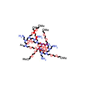 COCCOCCOCCN(CC(C)=O)C(=O)CN(CCN)C(=O)CN(CCOCCOCCOC)C(=O)CN(CCN)C(=O)CN(CCOCCOCCOC)C(=O)CN(CCN)C(=O)CN(CCOCCOCCOC)C(=O)CN(CCN)C(=O)CN(CCOCCOCCOC)C(=O)CN(CCN)C(=O)CN(CCOCCOCCOC)C(=O)CN(CCN)C(C)=O